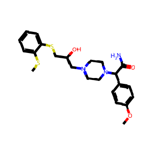 COc1ccc(C(C(N)=O)N2CCN(CC(O)CSc3ccccc3SC)CC2)cc1